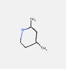 C[C]1CC[N]C(C)C1